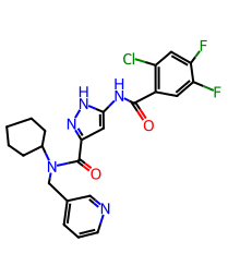 O=C(Nc1cc(C(=O)N(Cc2cccnc2)C2CCCCC2)n[nH]1)c1cc(F)c(F)cc1Cl